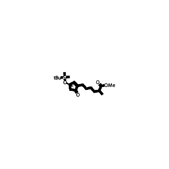 COC(=O)C(C)CCCCC1=C[C@H](O[Si](C)(C)C(C)(C)C)CC1=O